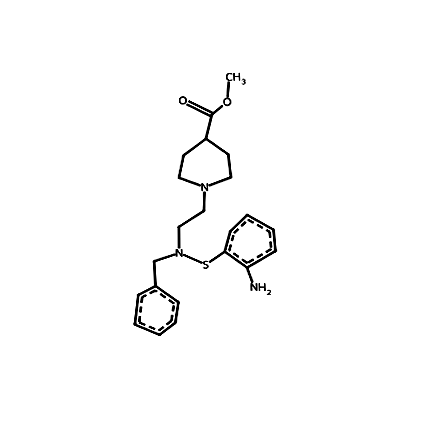 COC(=O)C1CCN(CCN(Cc2ccccc2)Sc2ccccc2N)CC1